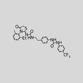 CCc1cccc(C)c1N1C(=O)CSC1=NC(=O)NCCc1ccc(NC(=O)Nc2ccc(C(F)(F)F)cc2)cc1